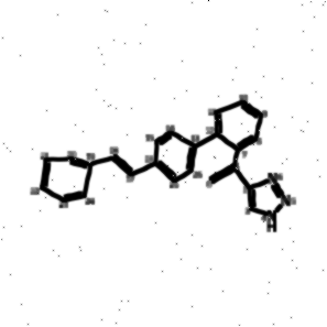 C=C(c1c[nH]nn1)c1ccccc1-c1ccc(C=Cc2ccccc2)cc1